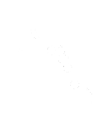 C=CCCC(CCNC=C)Cc1cc2c(Nc3ccc(Cc4cccc(C5=NN=C(C)C5)c4)cc3F)ncnc2cc1CCC